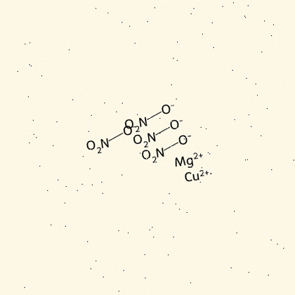 O=[N+]([O-])[O-].O=[N+]([O-])[O-].O=[N+]([O-])[O-].O=[N+]([O-])[O-].[Cu+2].[Mg+2]